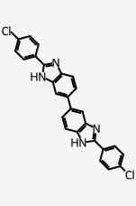 Clc1ccc(-c2nc3cc(-c4ccc5nc(-c6ccc(Cl)cc6)[nH]c5c4)ccc3[nH]2)cc1